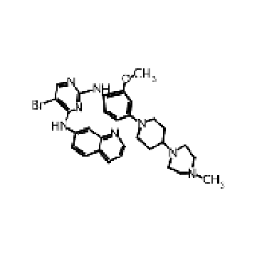 COc1cc(N2CCC(N3CCN(C)CC3)CC2)ccc1Nc1ncc(Br)c(Nc2ccc3cccnc3c2)n1